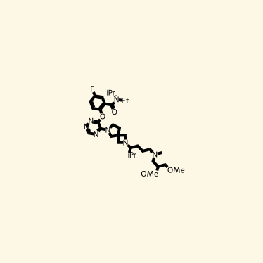 CCN(C(=O)c1cc(F)ccc1Oc1nncnc1N1CCC2(C1)CN(C(CCCN(C)CC(COC)OC)C(C)C)C2)C(C)C